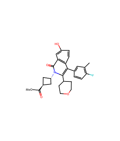 COC(=O)[C@H]1C[C@H](n2c(C3CCOCC3)c(-c3ccc(F)c(C)c3)c3ccc(O)cc3c2=O)C1